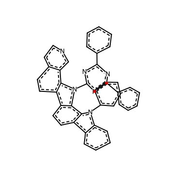 c1ccc(-c2nc(-c3ccccc3)nc(-n3c4c5cnccc5ccc4c4ccc5c6ccccc6n(-c6ccccc6)c5c43)n2)cc1